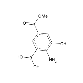 COC(=O)c1cc(O)c(N)c(B(O)O)c1